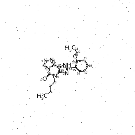 CCCCn1c(=O)n2cnnc2c2[nH]c(-c3ccccc3OCC)nc21